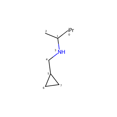 CC(C)C(C)NCC1CC1